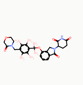 Bc1c(B)c(C(B)(B)Oc2cccc3c2CN(C2CCC(=O)NC2=O)C3=O)c(B)c(B)c1CN1CCOCC1=O